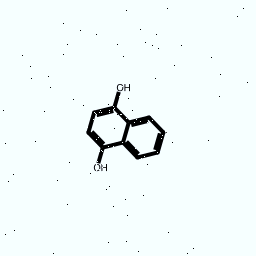 Oc1ccc(O)c2cc[c]cc12